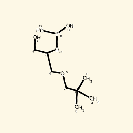 CC(C)(C)COCC(CO)OP(O)O